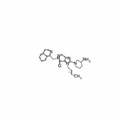 C/C=C/Cn1c(N2CCCC(N)C2)nc2cnn(Cc3nccc4ccccc34)c(=O)c21